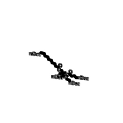 CCCCCCCC/C=C\CCCCCCCC(=O)OCC(CO)(COC(=O)CCCCCCCCCCCCC)C(CCCCCCCC)OCCCCCCCCCCCC